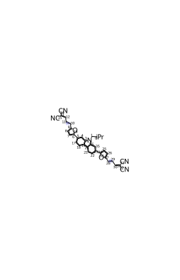 CC(C)Cn1c2cc(-c3ccc(/C=C/C=C(C#N)C#N)o3)ccc2c2ccc(-c3ccc(/C=C/C=C(C#N)C#N)o3)cc21